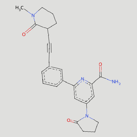 CN1CCCC(C#Cc2cccc(-c3cc(N4CCCC4=O)cc(C(N)=O)n3)c2)C1=O